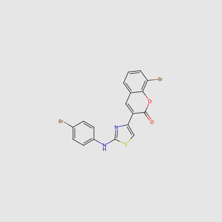 O=c1oc2c(Br)cccc2cc1-c1csc(Nc2ccc(Br)cc2)n1